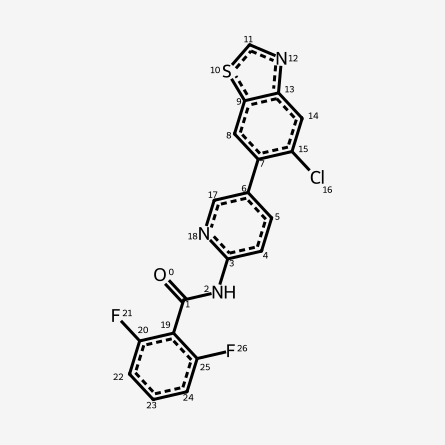 O=C(Nc1ccc(-c2cc3scnc3cc2Cl)cn1)c1c(F)cccc1F